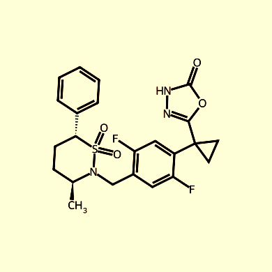 C[C@H]1CC[C@H](c2ccccc2)S(=O)(=O)N1Cc1cc(F)c(C2(c3n[nH]c(=O)o3)CC2)cc1F